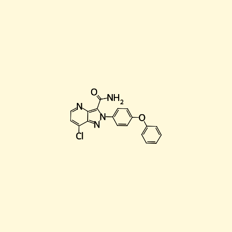 NC(=O)c1c2nccc(Cl)c2nn1-c1ccc(Oc2ccccc2)cc1